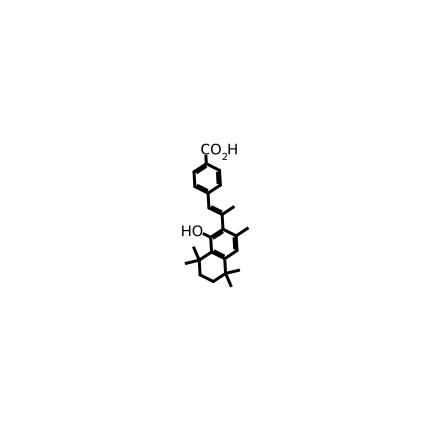 C/C(=C\c1ccc(C(=O)O)cc1)c1c(C)cc2c(c1O)C(C)(C)CCC2(C)C